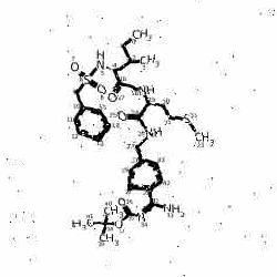 CCC(C)[C@@H](NS(=O)(=O)Cc1ccccc1)C(=O)N[C@@H](CCSC)C(=O)NCc1ccc(/C(N)=N\C(=O)OC(C)(C)C)cc1